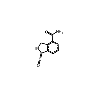 NC(=O)c1cccc2c1CNC2=C=O